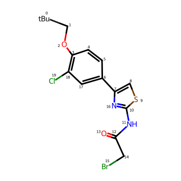 CC(C)(C)COc1ccc(-c2csc(NC(=O)CBr)n2)cc1Cl